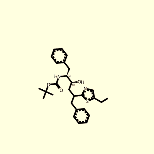 CCc1cnc(C(Cc2ccccc2)C[C@H](O)[C@H](Cc2ccccc2)NC(=O)OC(C)(C)C)s1